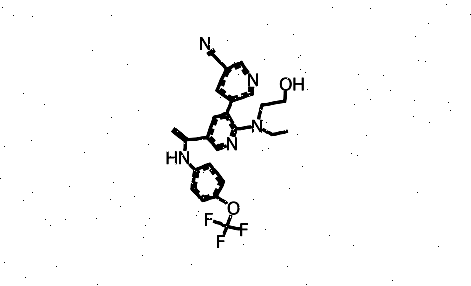 C=C(Nc1ccc(OC(F)(F)F)cc1)c1cnc(N(CC)CCO)c(-c2cncc(C#N)c2)c1